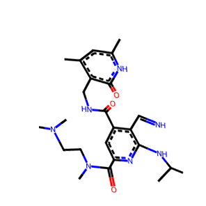 Cc1cc(C)c(CNC(=O)c2cc(C(=O)N(C)CCN(C)C)nc(NC(C)C)c2C=N)c(=O)[nH]1